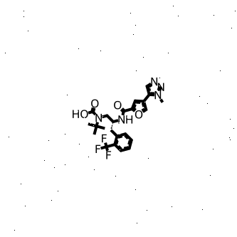 Cn1nncc1-c1coc(C(=O)N[C@H](Cc2ccccc2C(F)(F)F)CN(C(=O)O)C(C)(C)C)c1